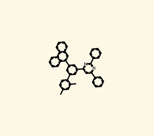 Cc1ccc(-c2cc(-c3cc(-c4ccccc4)nc(-c4ccccc4)n3)cc(-c3cc4ccccc4c4ccccc34)c2)c(C)c1